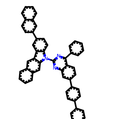 c1ccc(-c2ccc(-c3ccc4c(-c5ccccc5)nc(-n5c6ccc(-c7ccc8ccccc8c7)cc6c6cc7ccccc7cc65)nc4c3)cc2)cc1